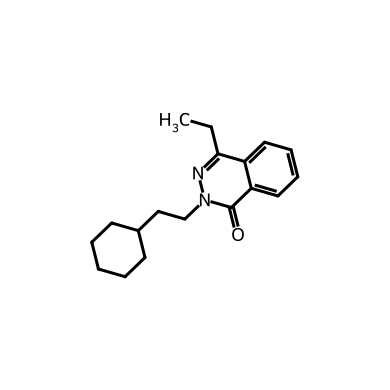 CCc1nn(CCC2CCCCC2)c(=O)c2ccccc12